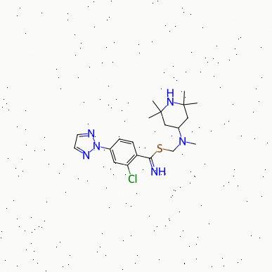 CN(CSC(=N)c1ccc(-n2nccn2)cc1Cl)C1CC(C)(C)NC(C)(C)C1